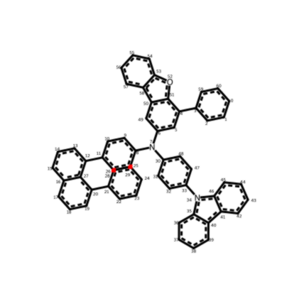 c1ccc(-c2cc(N(c3ccc(-c4cccc5cccc(-c6ccccc6)c45)cc3)c3ccc(-n4c5ccccc5c5ccccc54)cc3)cc3c2oc2ccccc23)cc1